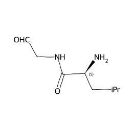 CC(C)C[C@H](N)C(=O)NCC=O